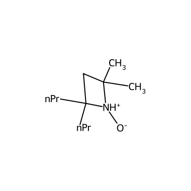 CCCC1(CCC)CC(C)(C)[NH+]1[O-]